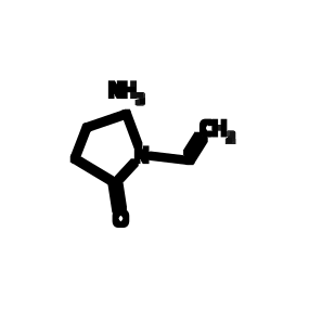 C=CN1CCCC1=O.N